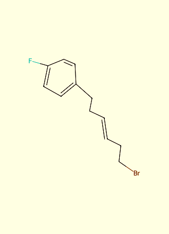 Fc1ccc(CCC=CCCBr)cc1